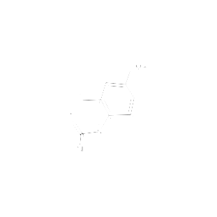 COc1ccc(NC(N)=S)c(C(F)(F)F)c1